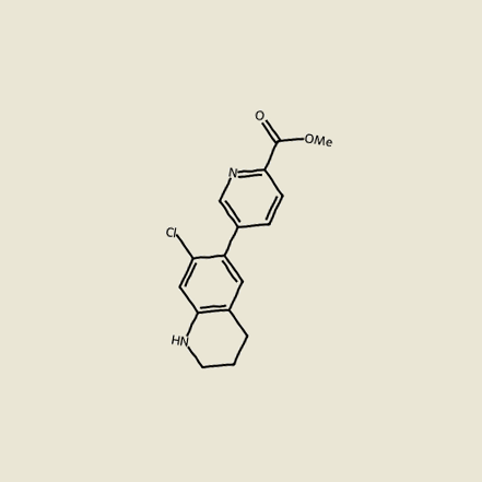 COC(=O)c1ccc(-c2cc3c(cc2Cl)NCCC3)cn1